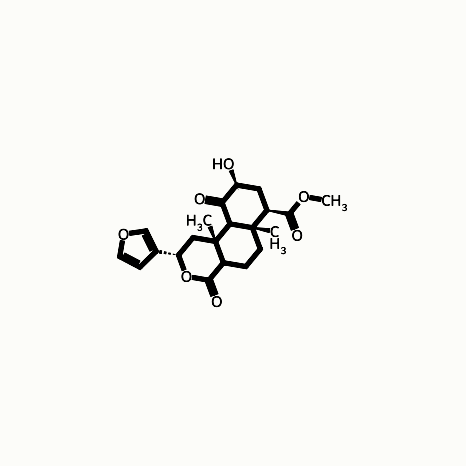 COC(=O)[C@@H]1C[C@H](O)C(=O)C2[C@@]3(C)C[C@@H](c4ccoc4)OC(=O)C3CC[C@]21C